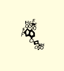 CS(=O)(=O)N[C@H]1C[C@@H](Oc2ccc(S(=O)(=O)C(F)(F)F)c3c2CC(F)(F)[C@H]3O)C1